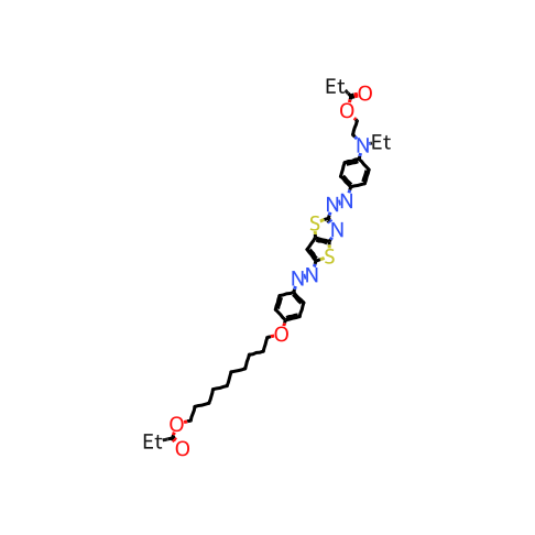 CCC(=O)OCCCCCCCCCCOc1ccc(N=Nc2cc3sc(N=Nc4ccc(N(CC)CCOC(=O)CC)cc4)nc3s2)cc1